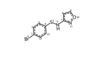 Brc1ccc(SNc2ccon2)cc1